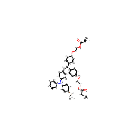 C=CC(=O)OCCOc1ccc(C(=Cc2ccc(N(c3ccccc3)c3ccc(SC)cc3)cc2)c2ccc(OCCOC(=O)C=C)cc2)cc1